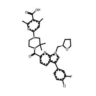 Cc1cc(N2CCN(C(=O)c3ccc4c(-c5ccc(Cl)c(F)c5)cn(C[C@H]5CCCO5)c4n3)C(C)(C)C2)nc(C)c1C(=O)O